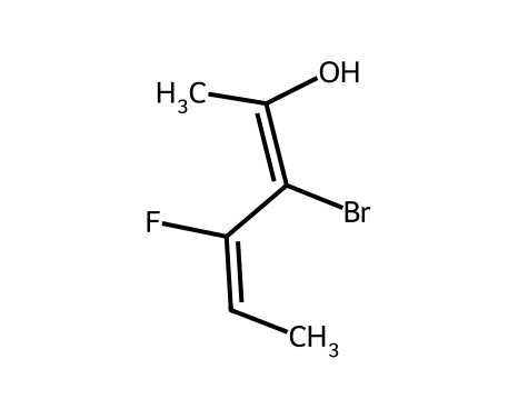 C/C=C(F)\C(Br)=C(/C)O